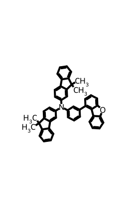 CC1(C)c2ccccc2-c2cc(N(c3cccc(-c4cccc5oc6ccccc6c45)c3)c3ccc4c(c3)C(C)(C)c3ccccc3-4)ccc21